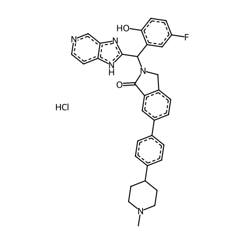 CN1CCC(c2ccc(-c3ccc4c(c3)C(=O)N(C(c3nc5cnccc5[nH]3)c3cc(F)ccc3O)C4)cc2)CC1.Cl